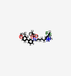 CC(C)Oc1ccc(-c2cccc(N(CCCCCc3cc(C(C)(F)F)n(C)n3)C(=O)OC(C)(C)C(F)(F)F)c2)cc1